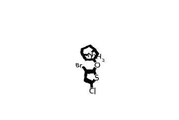 CN1C2CCC1CC(Oc1sc(Cl)cc1Br)C2